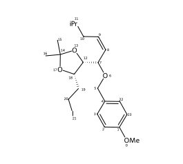 COc1ccc(COC(/C=C\CC(C)C)[C@H]2OC(C)(C)O[C@H]2CCI)cc1